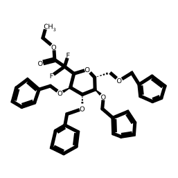 CCOC(=O)C(F)(F)C1O[C@H](COCc2ccccc2)[C@@H](OCc2ccccc2)[C@H](OCc2ccccc2)[C@H]1OCc1ccccc1